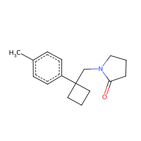 Cc1ccc(C2(CN3CCCC3=O)CCC2)cc1